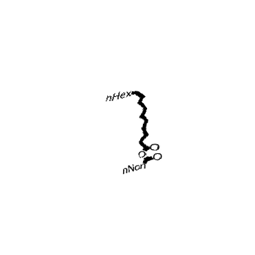 CCCCCC/C=C\CCCCCCCC(=O)OC(=O)CCCCCCCCC